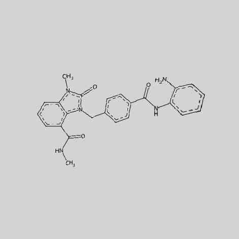 CNC(=O)c1cccc2c1n(Cc1ccc(C(=O)Nc3ccccc3N)cc1)c(=O)n2C